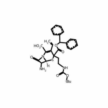 C=CC1=C(C(=O)O)N2C(=O)C(N)[C@@H]2SC1(CCNC(=O)OC(C)(C)C)C(=O)OC(c1ccccc1)c1ccccc1